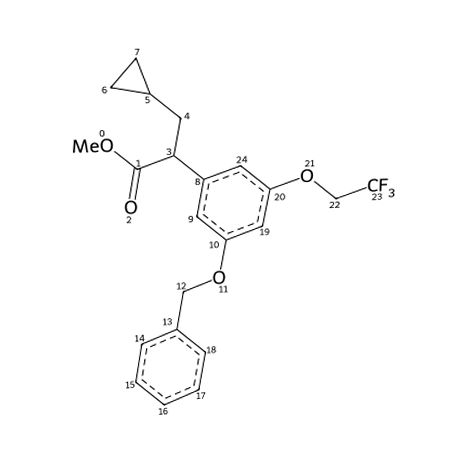 COC(=O)C(CC1CC1)c1cc(OCc2ccccc2)cc(OCC(F)(F)F)c1